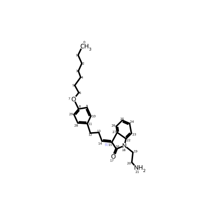 CCCCCCCOc1ccc(CC/C=C2/C(=O)N(CCN)c3ccccc32)cc1